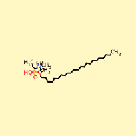 CCCCCCCCCCCCCCCCCCC/C=C\CCOP(=O)(O)C(CC)[N+](C)(C)C